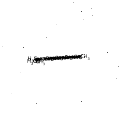 COCCOCCOCCOCCOCCOCCOCCOCCSCCCC(C)(C)C